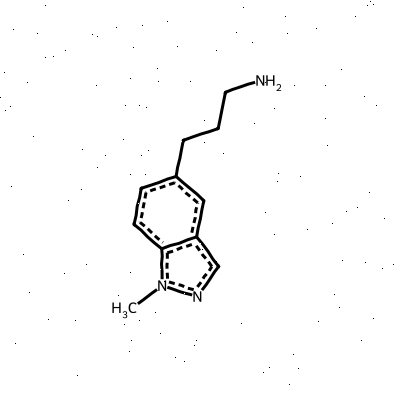 Cn1ncc2cc(CCCN)ccc21